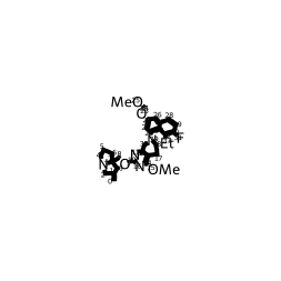 C=C1CN2CCCC2(COc2nc3c(c(OC)n2)CCN(c2cc(OCOC)cc4ccc(F)c(CC)c24)C3)C1